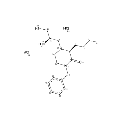 CCCC[C@H]1C(=O)N(Cc2ccccc2)CCN1C[C@@H](N)CS.Cl.Cl